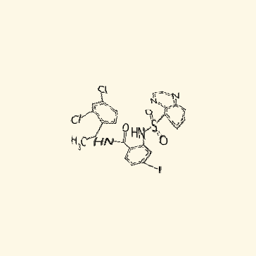 CC(NC(=O)c1ccc(I)cc1NS(=O)(=O)c1cccc2nccnc12)c1ccc(Cl)cc1Cl